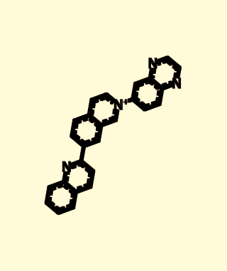 c1ccc2nc(-c3ccc4cc[n+](-c5ccc6nccnc6c5)cc4c3)ccc2c1